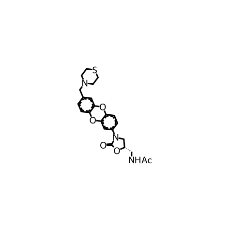 CC(=O)NC[C@H]1CN(c2ccc3c(c2)Oc2ccc(CN4CCSCC4)cc2O3)C(=O)O1